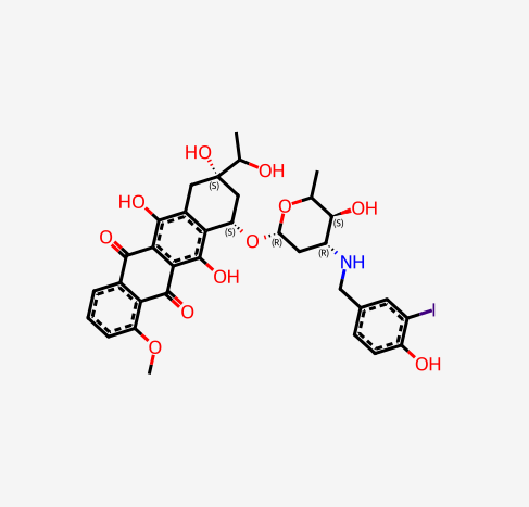 COc1cccc2c1C(=O)c1c(O)c3c(c(O)c1C2=O)C[C@@](O)(C(C)O)C[C@@H]3O[C@H]1C[C@@H](NCc2ccc(O)c(I)c2)[C@H](O)C(C)O1